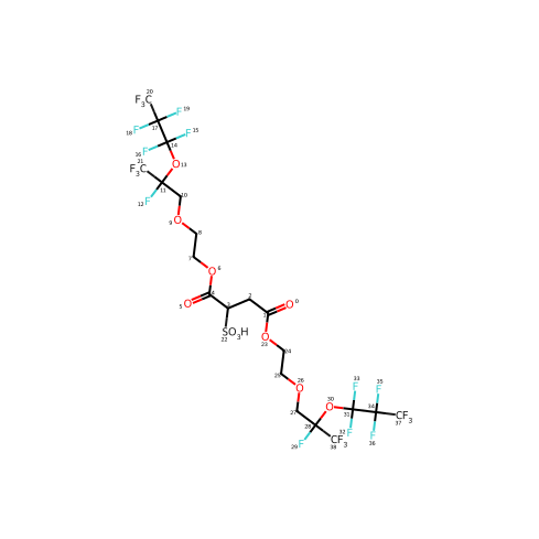 O=C(CC(C(=O)OCCOCC(F)(OC(F)(F)C(F)(F)C(F)(F)F)C(F)(F)F)S(=O)(=O)O)OCCOCC(F)(OC(F)(F)C(F)(F)C(F)(F)F)C(F)(F)F